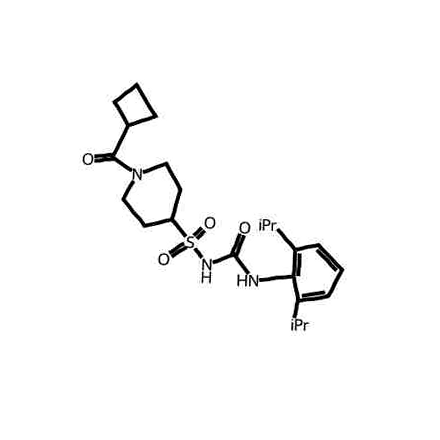 CC(C)c1cccc(C(C)C)c1NC(=O)NS(=O)(=O)C1CCN(C(=O)C2CCC2)CC1